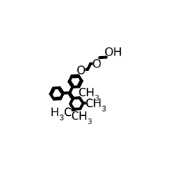 CC1CC(C)(C)CC(=C(c2ccccc2)c2ccc(OCCOCCO)cc2)C1C